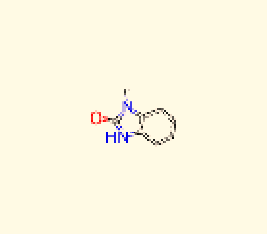 [CH2]n1c(=O)[nH]c2ccccc21